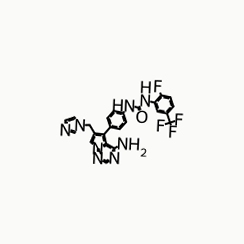 Nc1ncnn2cc(Cn3ccnc3)c(-c3ccc(NC(=O)Nc4cc(C(F)(F)F)ccc4F)cc3)c12